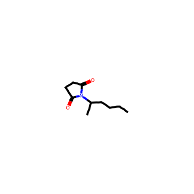 CCCCC(C)N1C(=O)CCC1=O